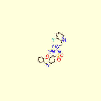 N#Cc1ccccc1Oc1cccc2c1NC(NCc1ncccc1F)=NS2(=O)=O